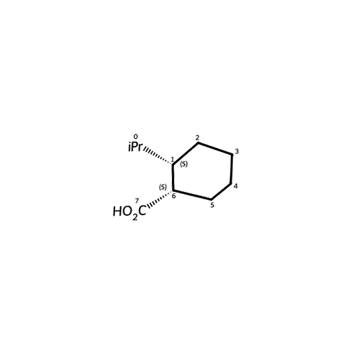 CC(C)[C@@H]1CCCC[C@@H]1C(=O)O